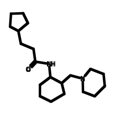 O=C(CCC1CCCC1)NC1CCCCC1CN1CCCCC1